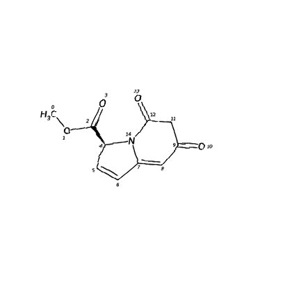 COC(=O)[C@@H]1C=CC2=CC(=O)CC(=O)N21